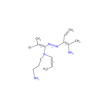 C=CC(/N=N/C(=C(\C)CC)N(/C=C\C)CCCN)=C(\C)N